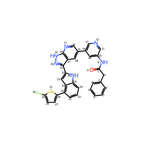 O=C(Cc1ccccc1)Nc1cncc(-c2cnc3[nH]nc(-c4cc5c(-c6ccc(F)s6)cccc5[nH]4)c3c2)c1